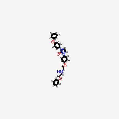 O=c1n(-c2ccc(OCCNCCOc3ccccc3)cc2)ccn1-c1ccc(Oc2ccccc2)cc1